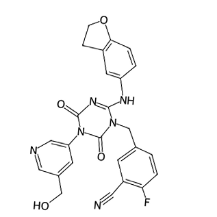 N#Cc1cc(Cn2c(Nc3ccc4c(c3)CCO4)nc(=O)n(-c3cncc(CO)c3)c2=O)ccc1F